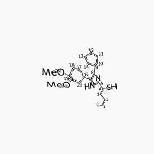 C/C=C\C=C(/S)c1nc(-c2ccccc2)c(-c2ccc(OC)c(OC)c2)[nH]1